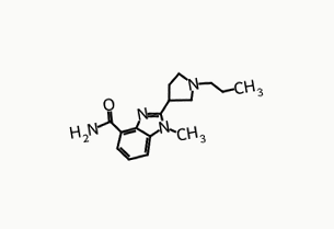 CCCN1CCC(c2nc3c(C(N)=O)cccc3n2C)C1